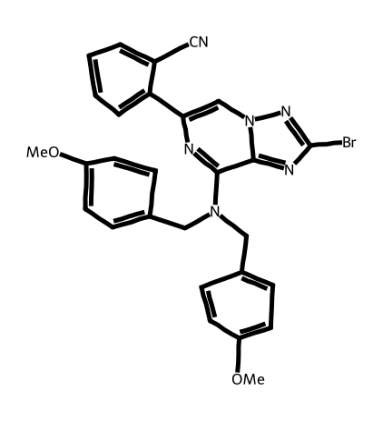 COc1ccc(CN(Cc2ccc(OC)cc2)c2nc(-c3ccccc3C#N)cn3nc(Br)nc23)cc1